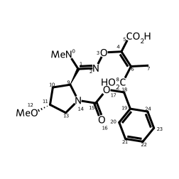 CNC(=NOC(C(=O)O)=C(C)C(=O)O)[C@@H]1C[C@@H](OC)CN1C(=O)OCc1ccccc1